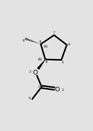 CC(=O)O[C@@H]1CCC[C@H]1C